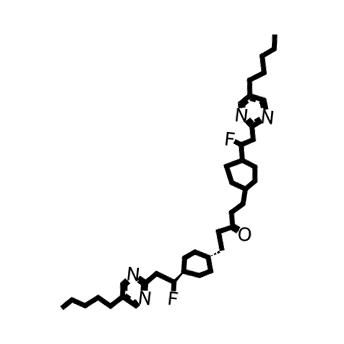 CCCCCc1cnc(CC(F)C2CCC(CCC(=O)CC[C@H]3CC[C@H](C(F)Cc4ncc(CCCCC)cn4)CC3)CC2)nc1